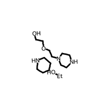 C1CCNCC1.CCO.OCCOCCN1CCNCC1